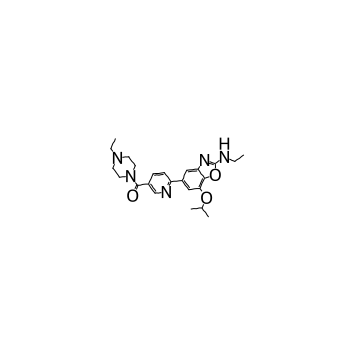 CCNc1nc2cc(-c3ccc(C(=O)N4CCN(CC)CC4)cn3)cc(OC(C)C)c2o1